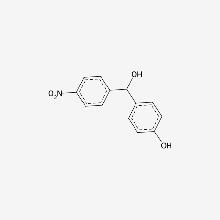 O=[N+]([O-])c1ccc(C(O)c2ccc(O)cc2)cc1